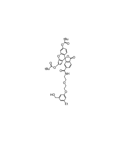 CCc1cc(CO)cc(OCCOCCNC(=O)c2ccc3c(c2)C2(OC3=O)c3ccc(OC(=O)C(C)(C)C)cc3Oc3cc(OC(=O)C(C)(C)C)ccc32)c1